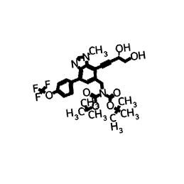 Cn1cnc2c(-c3ccc(OC(F)(F)F)cc3)cc(CN(C(=O)OC(C)(C)C)C(=O)OC(C)(C)C)c(C#C[C@H](O)CO)c21